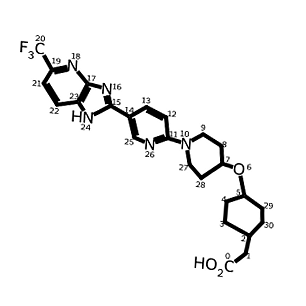 O=C(O)CC1CCC(OC2CCN(c3ccc(-c4nc5nc(C(F)(F)F)ccc5[nH]4)cn3)CC2)CC1